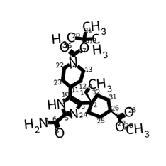 CC[C@]1(c2nc(C(N)=O)[nH]c2C2CCN(C(=O)OC(C)(C)C)CC2)CC[C@H](C(=O)OC)CC1